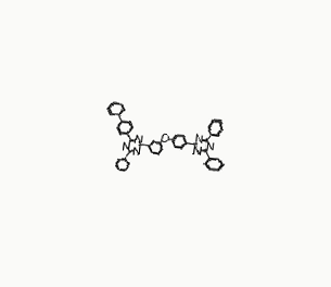 c1ccc(-c2ccc(-c3nc(-c4ccccc4)nc(-c4cccc(Oc5ccc(-c6nc(-c7ccccc7)nc(-c7ccccc7)n6)cc5)c4)n3)cc2)cc1